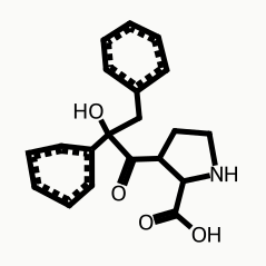 O=C(O)C1NCCC1C(=O)C(O)(Cc1ccccc1)c1ccccc1